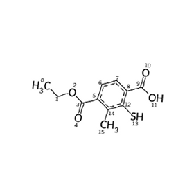 CCOC(=O)c1ccc(C(=O)O)c(S)c1C